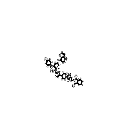 O=C1c2ccccc2C(=O)N1CCS(=O)(=O)N1CCC(c2csc(Nc3ncc(Sc4ccnc5ccsc45)cc3Oc3ccc(F)cc3)n2)CC1